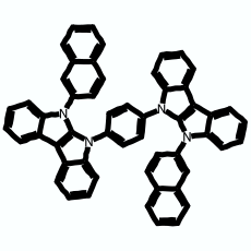 c1ccc2cc(-n3c4ccccc4c4c5ccccc5n(-c5ccc(-n6c7ccccc7c7c8ccccc8n(-c8ccc9ccccc9c8)c76)cc5)c43)ccc2c1